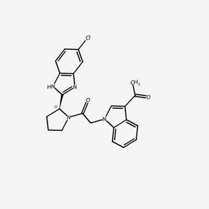 CC(=O)c1cn(CC(=O)N2CCC[C@H]2c2nc3cc(Cl)ccc3[nH]2)c2ccccc12